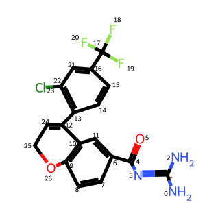 NC(N)=NC(=O)c1ccc2c(c1)C(c1ccc(C(F)(F)F)cc1Cl)=CCO2